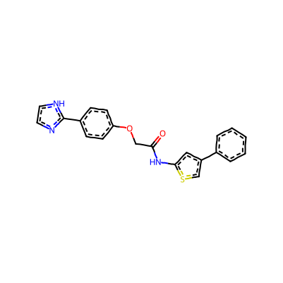 O=C(COc1ccc(-c2ncc[nH]2)cc1)Nc1cc(-c2ccccc2)cs1